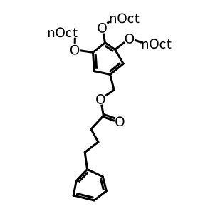 CCCCCCCCOc1cc(COC(=O)CCCc2ccccc2)cc(OCCCCCCCC)c1OCCCCCCCC